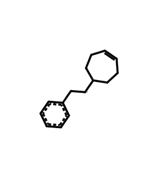 [CH](Cc1ccccc1)C1CCC=CCC1